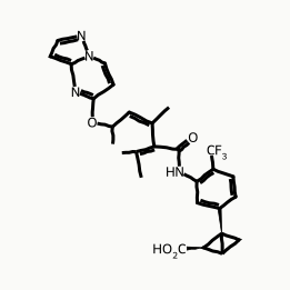 CC(C)=C(C(=O)Nc1cc([C@@]23CC2[C@H]3C(=O)O)ccc1C(F)(F)F)/C(C)=C\C(C)Oc1ccn2nccc2n1